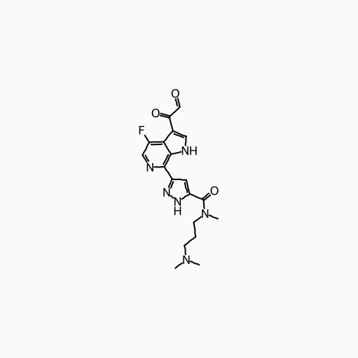 CN(C)CCCN(C)C(=O)c1cc(-c2ncc(F)c3c(C(=O)C=O)c[nH]c23)n[nH]1